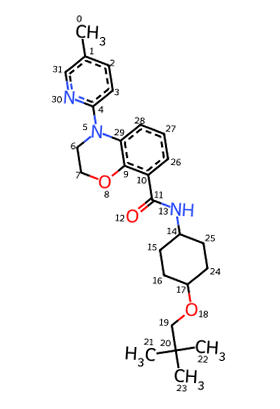 Cc1ccc(N2CCOc3c(C(=O)NC4CCC(OCC(C)(C)C)CC4)cccc32)nc1